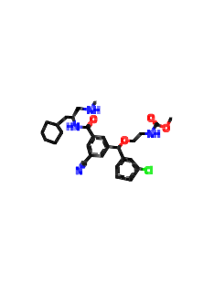 CNC[C@H](CC1CCCCC1)NC(=O)c1cc(C#N)cc(C(OCCNC(=O)OC)c2cccc(Cl)c2)c1